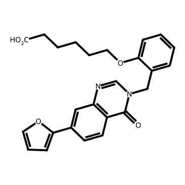 O=C(O)CCCCCOc1ccccc1Cn1cnc2cc(-c3ccco3)ccc2c1=O